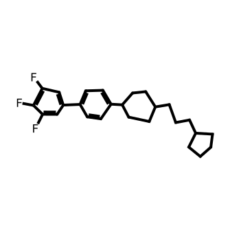 Fc1cc(-c2ccc(C3CCC(CCCC4CCCC4)CC3)cc2)cc(F)c1F